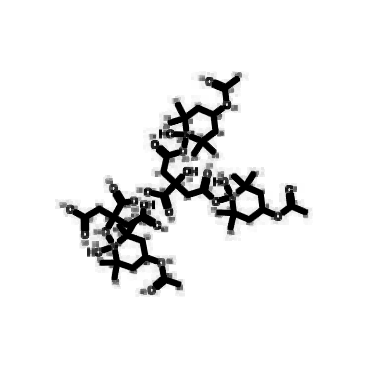 CC(=O)OC1CC(C)(C)[N+](O)(OC(=O)CC(O)(CC(=O)O[N+]2(O)C(C)(C)CC(OC(C)=O)CC2(C)C)C(=O)[O-])C(C)(C)C1.CC(=O)OC1CC(C)(C)[N+](O)(OC(CC(=O)[O-])(CC(=O)O)C(=O)[O-])C(C)(C)C1